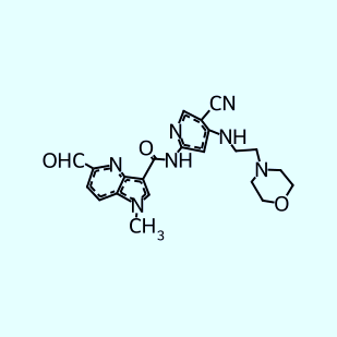 Cn1cc(C(=O)Nc2cc(NCCN3CCOCC3)c(C#N)cn2)c2nc(C=O)ccc21